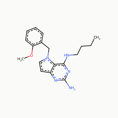 CCCCNc1nc(N)nc2ccn(Cc3ccccc3OC)c12